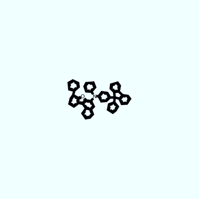 c1ccc(-c2cccc3c2oc2c(N(c4ccccc4)c4ccc(C5(c6ccccc6)c6ccccc6-c6ccccc65)cc4)cc4ccccc4c23)cc1